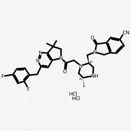 C[C@@H]1CN(CC(=O)N2CC(C)(C)c3nnc(Cc4ccc(F)cc4F)cc32)[C@@H](CN2Cc3ccc(C#N)cc3C2=O)CN1.Cl.Cl